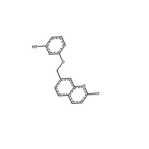 O=c1ccc2ccc(COc3cccc(S)c3)cc2o1